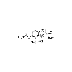 CC(=O)O.CCC(C)(Oc1ccc(CCN)cc1)C(=O)OC